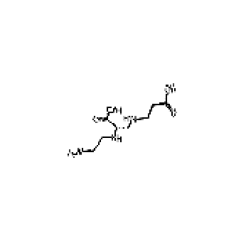 NCCN[C@@H](CNCCC(=O)O)C(=O)O